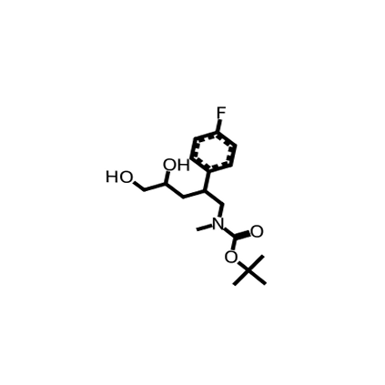 CN(CC(CC(O)CO)c1ccc(F)cc1)C(=O)OC(C)(C)C